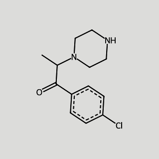 CC(C(=O)c1ccc(Cl)cc1)N1CCNCC1